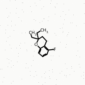 CCC1(CC)C[CH]c2c(F)cccc2O1